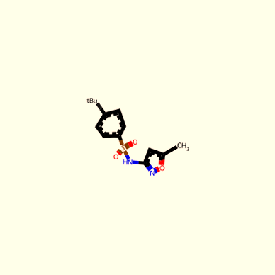 Cc1cc(NS(=O)(=O)c2ccc(C(C)(C)C)cc2)no1